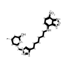 C[C@@H]1CC(O)O[C@H](Cn2cc(CCCCCCNc3ccc([N+](=O)[O-])c4nonc34)nn2)C1